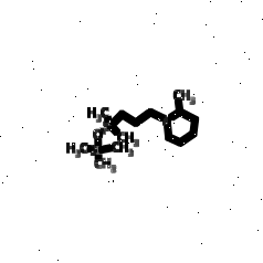 CC1CCCCN1CCC[Si](C)(C)O[Si](C)(C)C